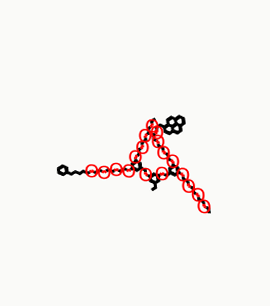 CCOCCOCCOCCOc1cc(COc2cc(CC)cc(OCc3cc(OCCOCCOCCOCC)cc(OCCOCCOCCOCCc4ccc5ccc6cccc7ccc4c5c67)c3)c2)cc(OCCOCCOCCOCCCCCc2ccccc2)c1